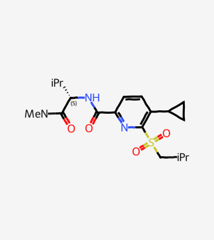 CNC(=O)[C@@H](NC(=O)c1ccc(C2CC2)c(S(=O)(=O)CC(C)C)n1)C(C)C